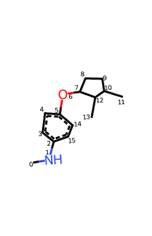 CNc1ccc(OC2CCC(C)C2C)cc1